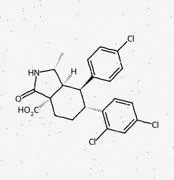 C[C@H]1NC(=O)[C@]2(C(=O)O)CC[C@@H](c3ccc(Cl)cc3Cl)[C@H](c3ccc(Cl)cc3)[C@H]12